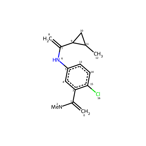 C=C(NC)c1cc(NC(=C)C2CC2C)ccc1Cl